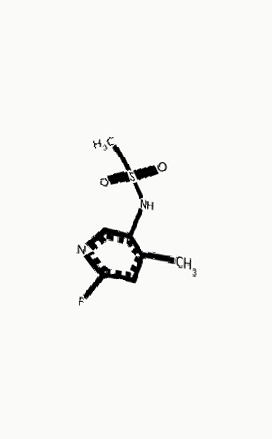 Cc1cc(F)ncc1NS(C)(=O)=O